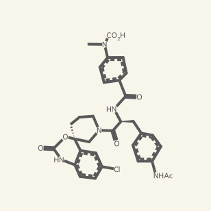 CC(=O)Nc1ccc(C[C@H](NC(=O)c2ccc(N(C)C(=O)O)cc2)C(=O)N2CCC[C@@]3(C2)OC(=O)Nc2ccc(Cl)cc23)cc1